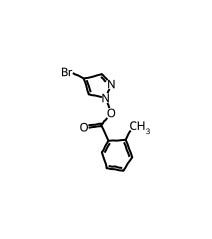 Cc1ccccc1C(=O)On1cc(Br)cn1